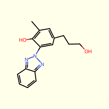 Cc1cc(CCCO)cc(-n2nc3ccccc3n2)c1O